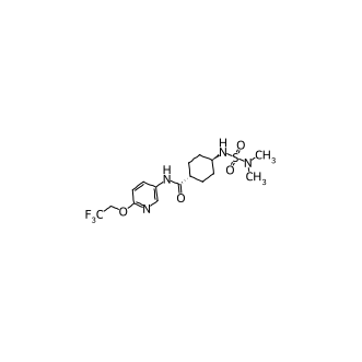 CN(C)S(=O)(=O)N[C@H]1CC[C@H](C(=O)Nc2ccc(OCC(F)(F)F)nc2)CC1